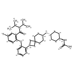 CC(C)N(C(=O)c1cc(F)ccc1Oc1cncnc1N1CC2(CCN(C[C@H]3CC[C@H](NC(=O)O)CC3)CC2)C1)C(C)C